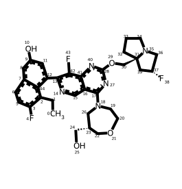 CCc1c(F)ccc2cc(O)cc(-c3ncc4c(N5CCOC[C@H](CO)C5)nc(OC[C@@]56CCCN5C[C@H](F)C6)nc4c3F)c12